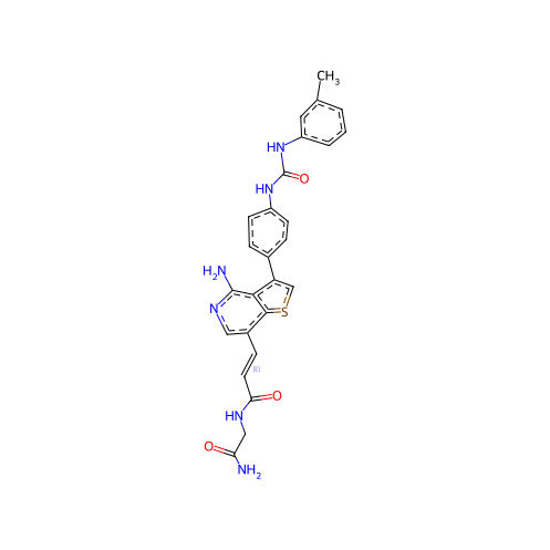 Cc1cccc(NC(=O)Nc2ccc(-c3csc4c(/C=C/C(=O)NCC(N)=O)cnc(N)c34)cc2)c1